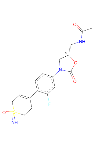 CC(=O)NC[C@H]1CN(c2ccc(C3=CCS(=N)(=O)CC3)c(F)c2)C(=O)O1